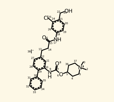 C[N+]1(C)CCC(OC(=O)Nc2cc(CCC(=O)Nc3ccc(CO)c(Cl)c3)ccc2-c2ccccc2)CC1.[I-]